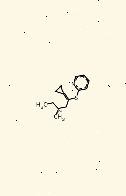 CC[C@H](C)CC(Sc1ccccn1)=C1CC1